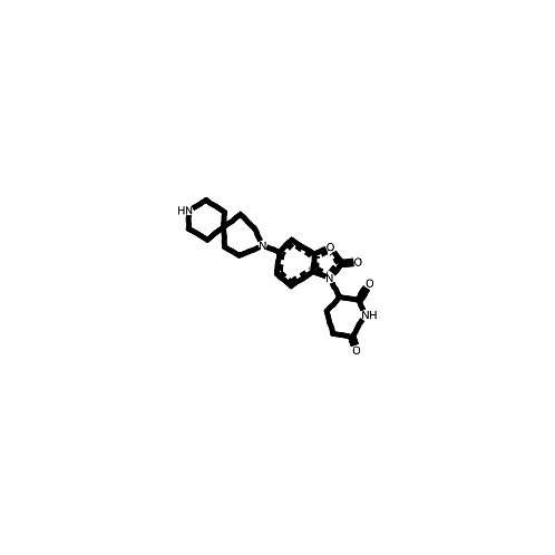 O=C1CCC(n2c(=O)oc3cc(N4CCC5(CCNCC5)CC4)ccc32)C(=O)N1